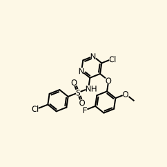 COc1ccc(F)cc1Oc1c(Cl)ncnc1NS(=O)(=O)c1ccc(Cl)cc1